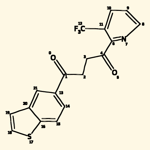 O=C(CCC(=O)c1ncccc1C(F)(F)F)c1ccc2sccc2c1